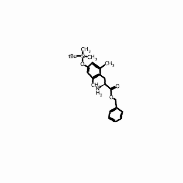 Cc1cc(O[Si](C)(C)C(C)(C)C)cc(C)c1C[C@H](N)C(=O)OCc1ccccc1